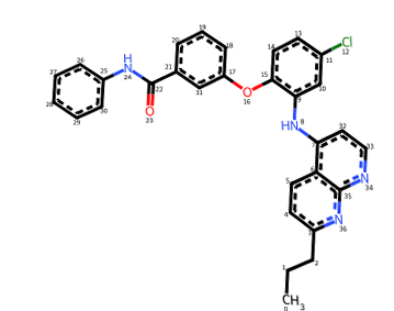 CCCc1ccc2c(Nc3cc(Cl)ccc3Oc3cccc(C(=O)Nc4ccccc4)c3)ccnc2n1